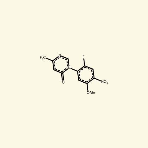 COc1cc(-n2cnc(C(F)(F)F)cc2=O)c(F)cc1[N+](=O)[O-]